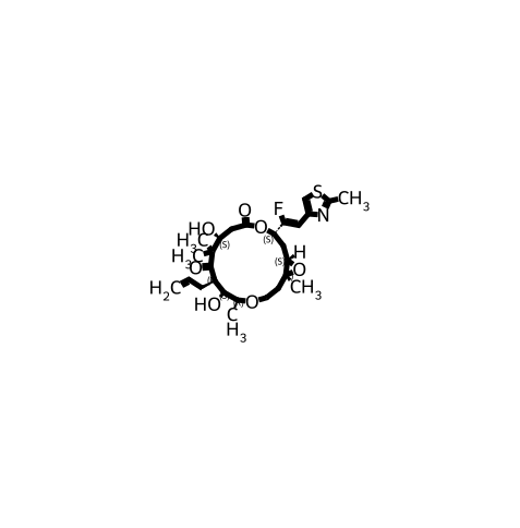 C=CC[C@H]1C(=O)C(C)(C)[C@@H](O)CC(=O)O[C@H](C(F)=Cc2csc(C)n2)C[C@@H]2O[C@]2(C)CCO[C@H](C)[C@H]1O